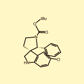 CC(C)(C)OC(=O)N1CC[C@]2(CNc3ccc(Cl)cc32)[C@H]1c1ccccc1